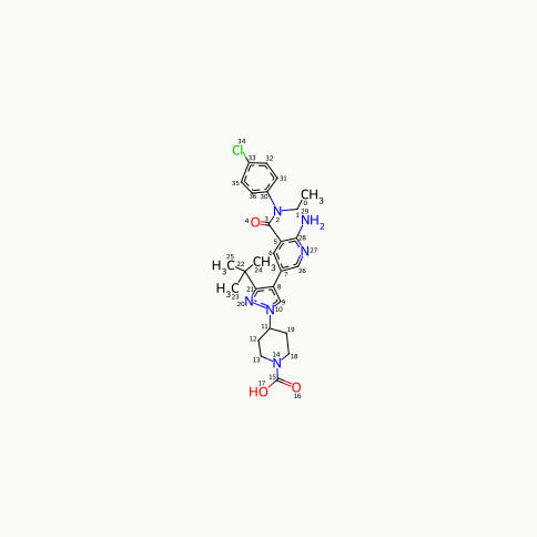 CCN(C(=O)c1cc(-c2cn(C3CCN(C(=O)O)CC3)nc2C(C)(C)C)cnc1N)c1ccc(Cl)cc1